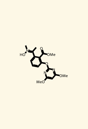 COC(=O)c1c(Oc2nc(OC)cc(OC)n2)cccc1C(C)=[N+](C)O